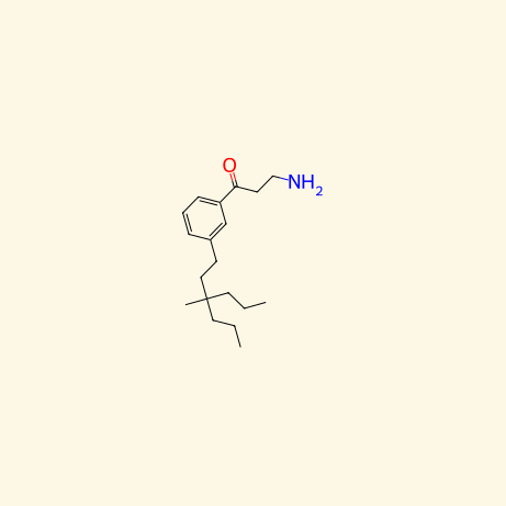 CCCC(C)(CCC)CCc1cccc(C(=O)CCN)c1